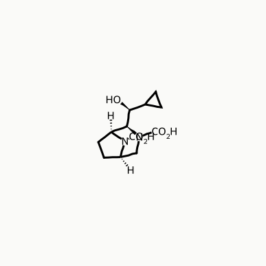 O=C(O)N1C[C@H]2CC[C@@H]([C@H]1[C@@H](O)C1CC1)N2C(=O)O